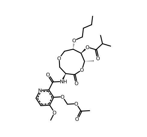 CCCCO[C@H]1COC[C@H](NC(=O)c2nccc(OC)c2OCOC(C)=O)C(=O)O[C@@H](C)[C@@H]1OC(=O)C(C)C